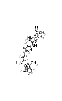 Cc1c(CN(C)C(=O)/C=C/c2cnc3c(c2)CC[C@H](NC(=O)OC(C)(C)C)C(=O)N3)oc2c(Cl)cccc12